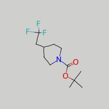 CC(C)(C)OC(=O)N1CCC(CC(F)(F)F)CC1